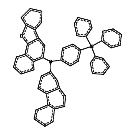 c1ccc([Si](c2ccccc2)(c2ccccc2)c2ccc(N(c3ccc4c(ccc5ccccc54)c3)c3cc4c5ccccc5oc4c4ccccc34)cc2)cc1